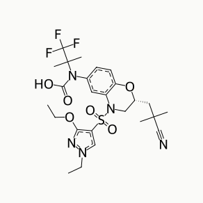 CCOc1nn(CC)cc1S(=O)(=O)N1C[C@@H](CC(C)(C)C#N)Oc2ccc(N(C(=O)O)C(C)(C)C(F)(F)F)cc21